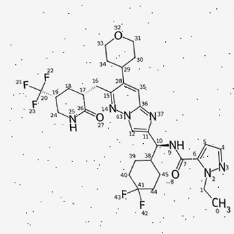 CCn1nccc1C(=O)N[C@H](c1cn2nc(C[C@H]3C[C@@H](C(F)(F)F)CNC3=O)c(C3CCOCC3)cc2n1)C1CCC(F)(F)CC1